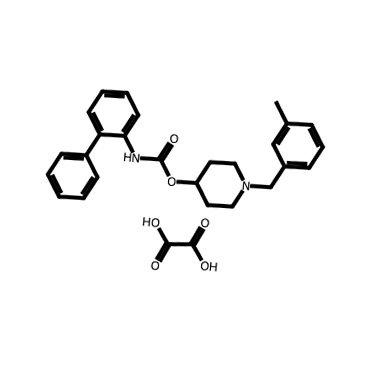 Cc1cccc(CN2CCC(OC(=O)Nc3ccccc3-c3ccccc3)CC2)c1.O=C(O)C(=O)O